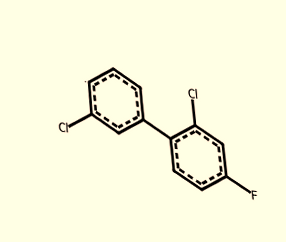 Fc1ccc(-c2cc[c]c(Cl)c2)c(Cl)c1